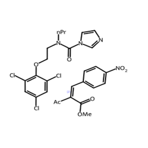 CCCN(CCOc1c(Cl)cc(Cl)cc1Cl)C(=O)n1ccnc1.COC(=O)/C(=C\c1ccc([N+](=O)[O-])cc1)C(C)=O